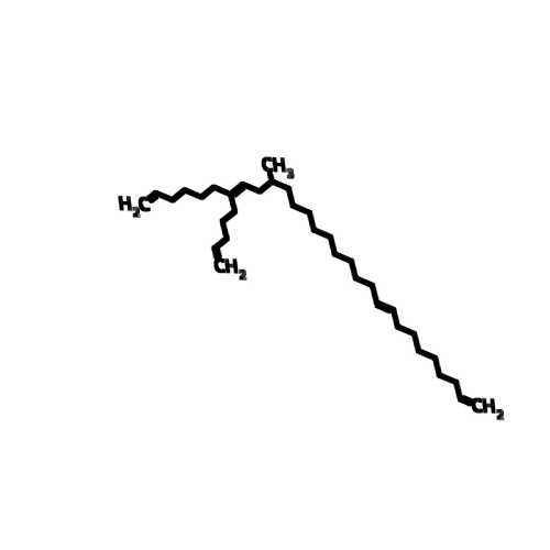 C=CCCCCCCC=CCCCCCCCCCC(C)CC=C(CCCC=C)CCCCC=C